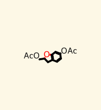 CC(=O)OCC1Cc2ccc(OC(C)=O)cc2O1